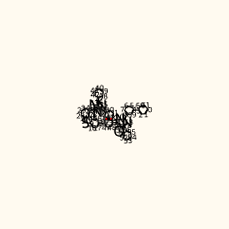 c1ccc(-c2cccc(-c3nc(-c4ccc(-c5ccc6sc7cccc(-c8nc(-c9ccccc9)nc(-c9ccccc9)n8)c7c6c5)cc4)c4oc5ccccc5c4n3)c2)cc1